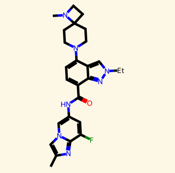 CCn1cc2c(N3CCC4(CC3)CCN4C)ccc(C(=O)Nc3cc(F)c4nc(C)cn4c3)c2n1